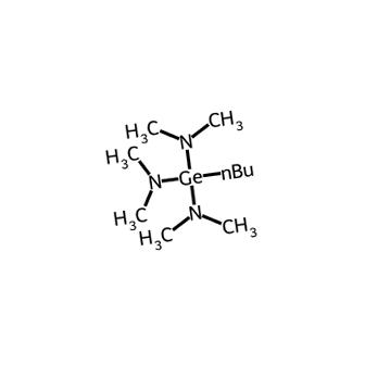 CCC[CH2][Ge]([N](C)C)([N](C)C)[N](C)C